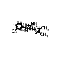 Cc1nc(NC(=N)NC(=N)c2cccc(Cl)c2)sc1C